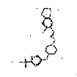 Fc1cc2c(nc1CNSN1CCC(Oc3cnc(C(F)(F)F)nc3)CC1)OCCO2